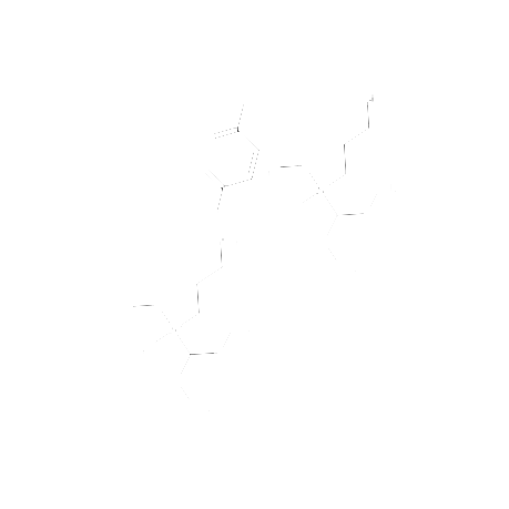 COC(OC)[N+](C)(CCC[SiH3])OC.COC(OC)[N+](C)(CCC[SiH3])OC.O=C([O-])/C=C\C(=O)[O-]